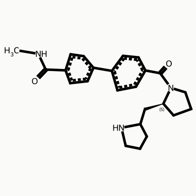 CNC(=O)c1ccc(-c2ccc(C(=O)N3CCC[C@H]3CC3CCCN3)cc2)cc1